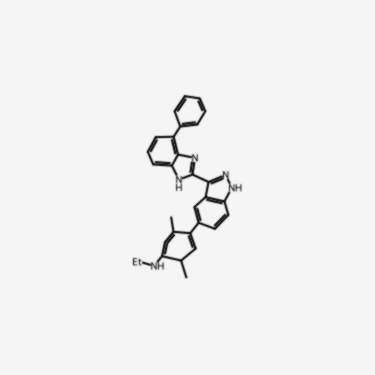 CCNC1=C=C(C)C(c2ccc3[nH]nc(-c4nc5c(-c6ccccc6)cccc5[nH]4)c3c2)=CC1C